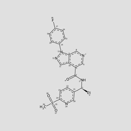 CC[C@H](NC(=O)c1cncc2c1cnn2-c1ccc(F)cc1)c1ccc(S(C)(=O)=O)nc1